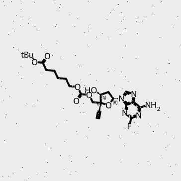 C#C[C@]1(COC(=O)OCCCCCC(=O)OC(C)(C)C)O[C@@H](n2cnc3c(N)nc(F)nc32)C[C@@H]1O